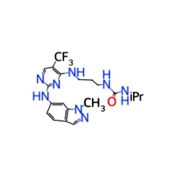 CC(C)NC(=O)NCCCNc1nc(Nc2ccc3cnn(C)c3c2)ncc1C(F)(F)F